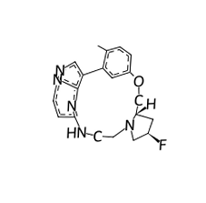 Cc1ccc2cc1-c1cnn3ccc(nc13)NCCN1C[C@H](F)C[C@H]1CO2